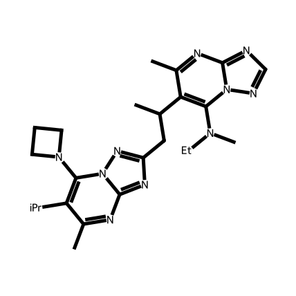 CCN(C)c1c(C(C)Cc2nc3nc(C)c(C(C)C)c(N4CCC4)n3n2)c(C)nc2ncnn12